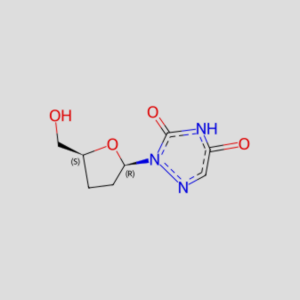 O=c1cnn([C@H]2CC[C@@H](CO)O2)c(=O)[nH]1